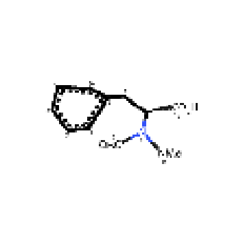 CNN(C=O)[C@@H](Cc1ccccc1)C(=O)O